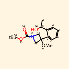 COC1(c2ccccc2C(C)O)CN(C(=O)OC(C)(C)C)C1